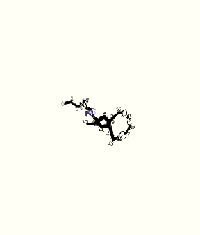 CCCN(C)/C=N/c1cc2c(cc1C)CCCCCCCOCC2